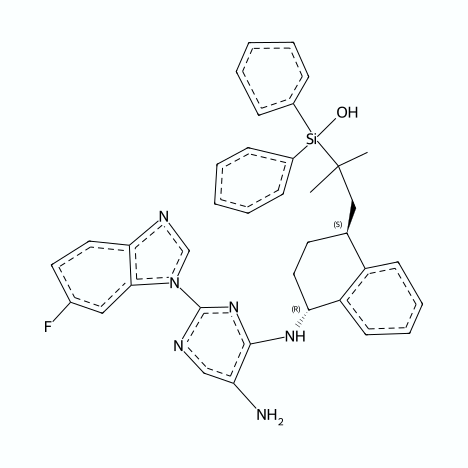 CC(C)(C[C@@H]1CC[C@@H](Nc2nc(-n3cnc4ccc(F)cc43)ncc2N)c2ccccc21)[Si](O)(c1ccccc1)c1ccccc1